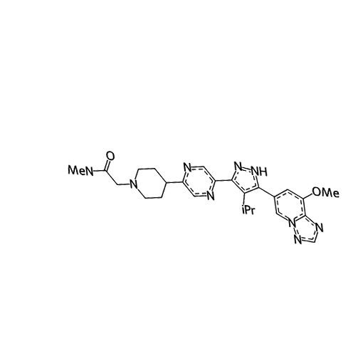 CNC(=O)CN1CCC(c2cnc(-c3n[nH]c(-c4cc(OC)c5ncnn5c4)c3C(C)C)cn2)CC1